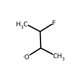 CC([O])C(C)F